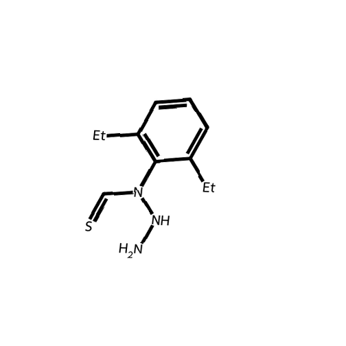 CCc1cccc(CC)c1N(C=S)NN